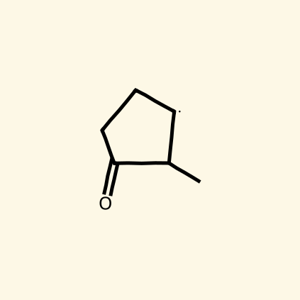 CC1[CH]CCC1=O